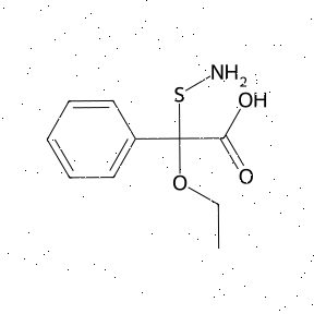 CCOC(SN)(C(=O)O)c1ccccc1